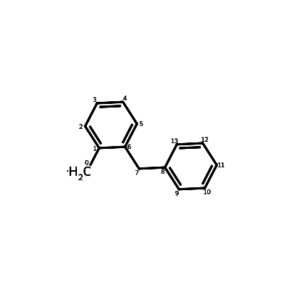 [CH2]c1ccccc1Cc1ccccc1